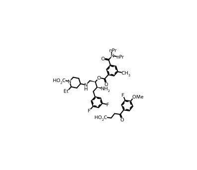 CCCN(CCC)C(=O)c1cc(C)cc(C(=O)O[C@H](CNC2CCN(C(=O)O)C(CC)C2)[C@@H](N)Cc2cc(F)cc(F)c2)c1.COc1ccc(C(=O)CCC(=O)O)cc1F